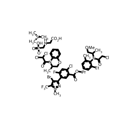 CC(C)OC(=O)c1cc(-c2nn(C)c(C(F)(F)F)c2Br)c(F)cc1Cl.CC1COc2ccccc2N1C(=O)C(Cl)Cl.CCc1cccc(C)c1N(C(=O)CCl)C(C)COC.C[S+](C)C.O=C(O)CNCP(=O)([O-])O